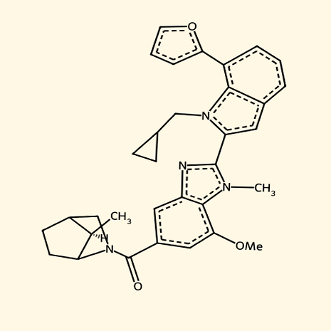 COc1cc(C(=O)N2CC3CCC2[C@@H]3C)cc2nc(-c3cc4cccc(-c5ccco5)c4n3CC3CC3)n(C)c12